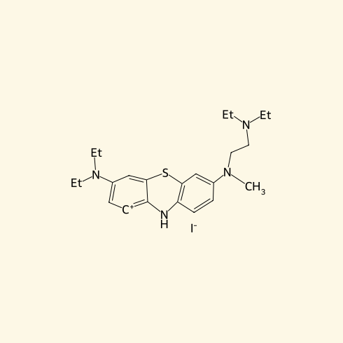 CCN(CC)CCN(C)c1ccc2c(c1)SC1=CC(N(CC)CC)=C[C+]=C1N2.[I-]